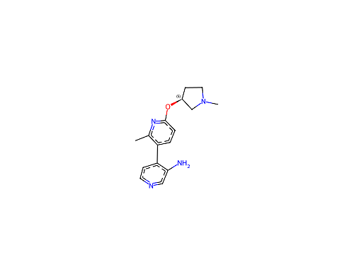 Cc1nc(O[C@H]2CCN(C)C2)ccc1-c1ccncc1N